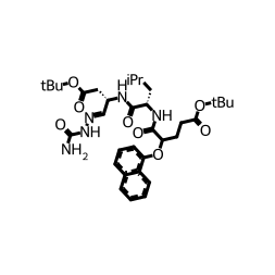 CC(C)C[C@H](NC(=O)C(CCC(=O)OC(C)(C)C)Oc1cccc2ccccc12)C(=O)N[C@H](C=NNC(N)=O)CC(=O)OC(C)(C)C